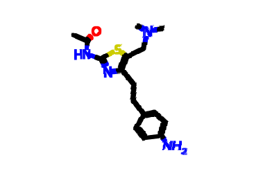 CC(=O)Nc1nc(CCc2ccc(N)cc2)c(CN(C)C)s1